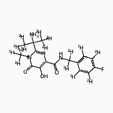 [2H]c1c([2H])c(C([2H])([2H])NC(=O)c2nc(C(N)(C([2H])([2H])[2H])C([2H])([2H])[2H])n(C([2H])([2H])[2H])c(=O)c2O)c([2H])c([2H])c1F